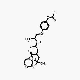 CC(CNc1ccc(OC(F)F)cc1)NC(=O)OC(CC(C)(C)C)C(=O)N1CCOCC1